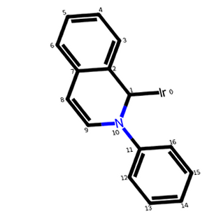 [Ir][CH]1c2ccccc2C=CN1c1ccccc1